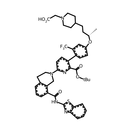 C[C@@H](CCC1CCN(CC(=O)O)CC1)Oc1ccc(-c2ccc(N3CCc4cccc(C(=O)Nc5nc6ccccc6s5)c4C3)nc2C(=O)OC(C)(C)C)c(C(F)(F)F)c1